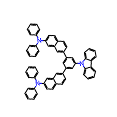 c1ccc(N(c2ccccc2)c2ccc3ccc(-c4cc(-c5ccc6ccc(N(c7ccccc7)c7ccccc7)cc6c5)cc(-n5c6ccccc6c6ccccc65)c4)cc3c2)cc1